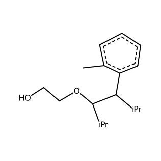 Cc1ccccc1C(C(C)C)C(OCCO)C(C)C